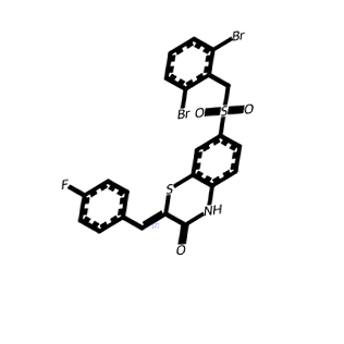 O=C1Nc2ccc(S(=O)(=O)Cc3c(Br)cccc3Br)cc2S/C1=C\c1ccc(F)cc1